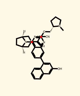 CN1CCC[C@H]1COc1nc(N2[C@@H]3CC[C@H]2CN(C(=N)NC#N)C3)c2ccc(-c3cc(O)cc4ccccc34)cc2n1